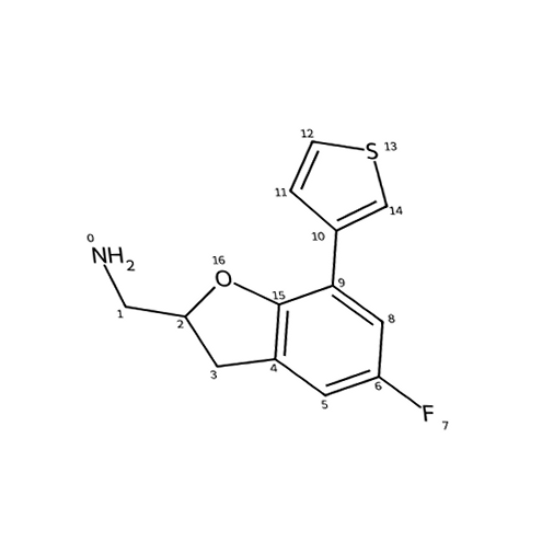 NCC1Cc2cc(F)cc(-c3ccsc3)c2O1